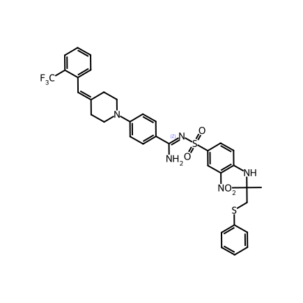 CC(C)(CSc1ccccc1)Nc1ccc(S(=O)(=O)/N=C(\N)c2ccc(N3CCC(=Cc4ccccc4C(F)(F)F)CC3)cc2)cc1[N+](=O)[O-]